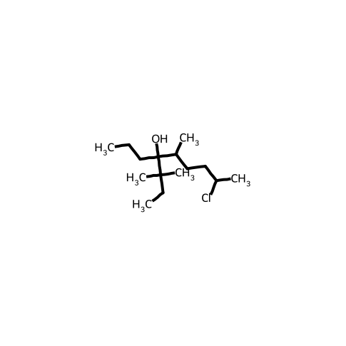 CCCC(O)(C(C)CCC(C)Cl)C(C)(C)CC